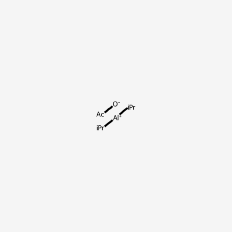 CC(=O)[O-].C[CH](C)[Al+][CH](C)C